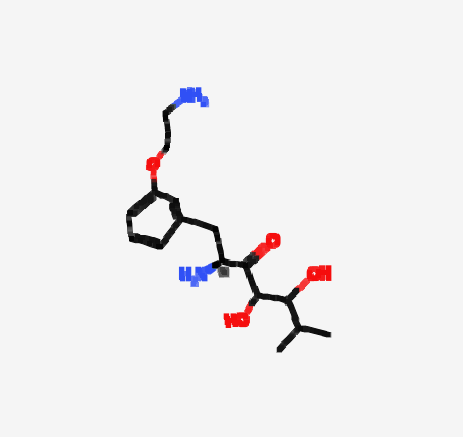 CC(C)C(O)C(O)C(=O)[C@@H](N)Cc1cccc(OCCN)c1